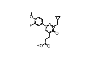 COc1ccc(-c2cc(CCC(=O)O)c(=O)n(CC3CC3)n2)cc1F